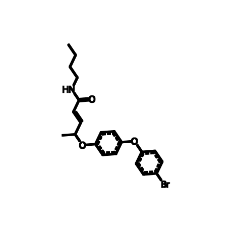 CCCCNC(=O)C=CC(C)Oc1ccc(Oc2ccc(Br)cc2)cc1